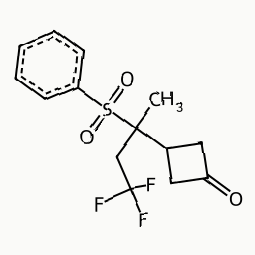 CC(CC(F)(F)F)(C1CC(=O)C1)S(=O)(=O)c1ccccc1